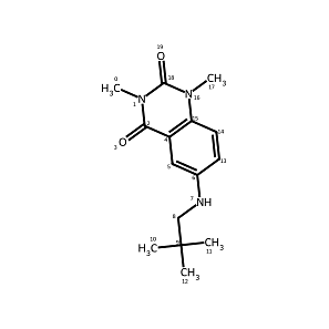 Cn1c(=O)c2cc(NCC(C)(C)C)ccc2n(C)c1=O